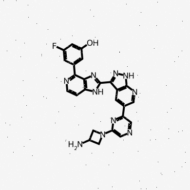 NC1CN(c2cncc(-c3cnc4[nH]nc(-c5nc6c(-c7cc(O)cc(F)c7)nccc6[nH]5)c4c3)n2)C1